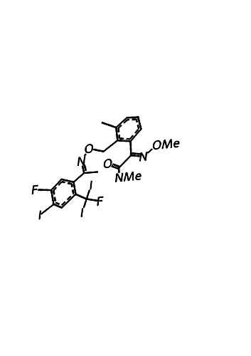 CNC(=O)/C(=N/OC)c1cccc(C)c1CO/N=C(\C)c1cc(F)c(I)cc1C(F)(I)I